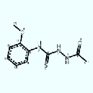 [CH2]C(=O)NNC(=S)Nc1ccccc1OC